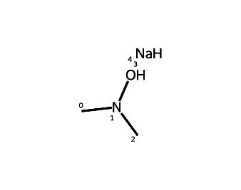 CN(C)O.[NaH]